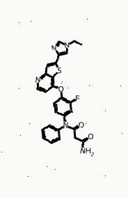 CCn1cnc(-c2cc3nccc(Oc4ccc(N(C(=O)CC(N)=O)c5ccccc5)cc4F)c3s2)c1